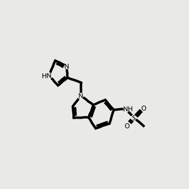 CS(=O)(=O)Nc1ccc2ccn(Cc3c[nH]cn3)c2c1